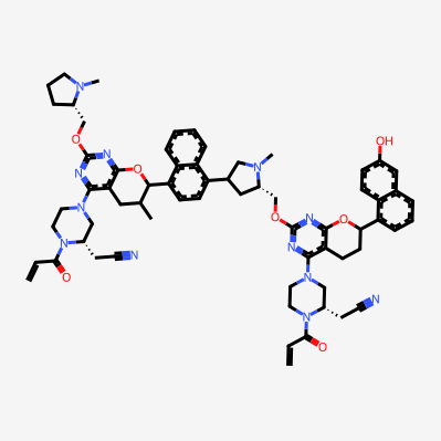 C=CC(=O)N1CCN(c2nc(OC[C@@H]3CC(c4ccc(C5Oc6nc(OC[C@@H]7CCCN7C)nc(N7CCN(C(=O)C=C)[C@@H](CC#N)C7)c6CC5C)c5ccccc45)CN3C)nc3c2CCC(c2cccc4cc(O)ccc24)O3)C[C@@H]1CC#N